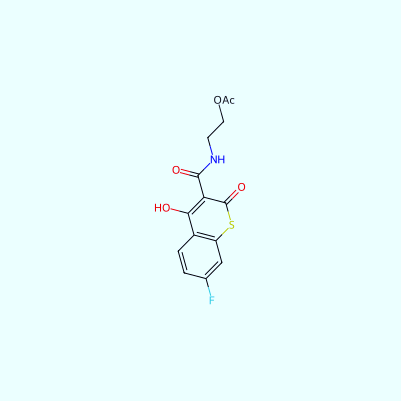 CC(=O)OCCNC(=O)c1c(O)c2ccc(F)cc2sc1=O